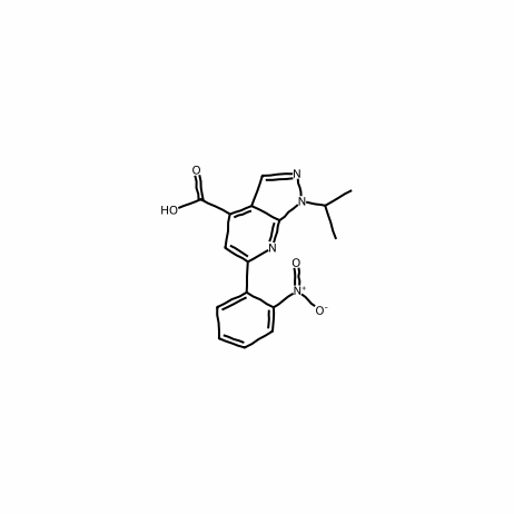 CC(C)n1ncc2c(C(=O)O)cc(-c3ccccc3[N+](=O)[O-])nc21